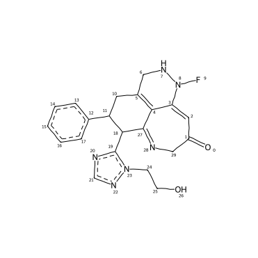 O=C1C=C2C3=C(CNN2F)CC(c2ccccc2)C(c2ncnn2CCO)C3=NC1